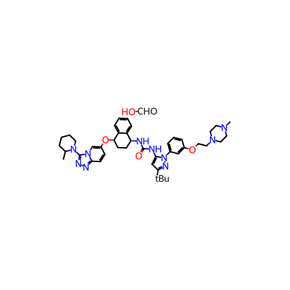 CC1CCCCN1c1nnc2ccc(O[C@@H]3CC[C@H](NC(=O)Nc4cc(C(C)(C)C)nn4-c4cccc(OCCN5CCN(C)CC5)c4)c4ccccc43)cn12.O=CO